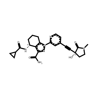 CN1CC[C@@](O)(C#Cc2ccnc(-n3nc(C(N)=O)c4c3CCC[C@H]4NC(=O)C3CC3)c2)C1=O